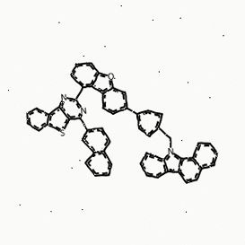 c1ccc2cc(-c3nc(-c4cccc5oc6cc(-c7ccc(Cn8c9ccccc9c9ccc%10ccccc%10c98)cc7)ccc6c45)nc4c3sc3ccccc34)ccc2c1